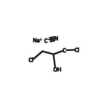 OC(CCl)CCl.[C-]#N.[Na+]